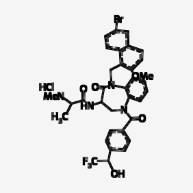 CNC(C)C(=O)NC1CN(C(=O)c2ccc(C(O)C(F)(F)F)cc2)c2ccccc2N(Cc2c(OC)ccc3cc(Br)ccc23)C1=O.Cl